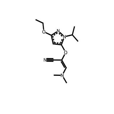 CCOc1cc(O/C(C#N)=C/N(C)C)n(C(C)C)n1